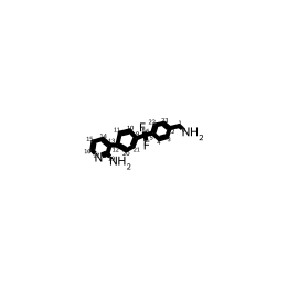 NCc1ccc(C(F)(F)c2ccc(-c3cccnc3N)cc2)cc1